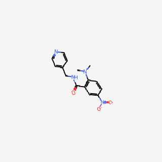 CN(C)c1ccc([N+](=O)[O-])cc1C(=O)NCc1ccncc1